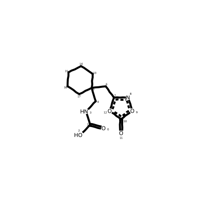 O=C(O)NCC1(Cc2noc(=O)o2)CCCCC1